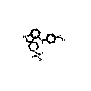 COc1ccc(Nc2cccc3c2C2(CCN(S(C)(=O)=O)CC2)CN3)cc1